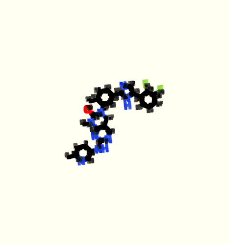 Cc1ccc(Nc2ncc3c(n2)N(C)C(=O)N(c2cc(-c4ncc(-c5cccc(F)c5F)[nH]4)ccc2C)C3)cn1